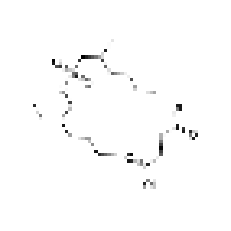 CCCCC(CC)COS(=O)(=O)CC(CC)CCCC.O=C(O)CCC(=O)O